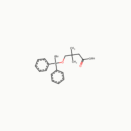 COC(=O)CC(C)(C)CO[Si](c1ccccc1)(c1ccccc1)C(C)(C)C